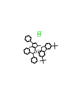 CC1=[C]([Zr+2](=[C](c2ccccc2)c2ccccc2)[c]2cc(C(C)(C)C)cc3c2Cc2ccc(C(C)(C)C)cc2-3)C(C)C=C1c1ccccc1.[Cl-].[Cl-]